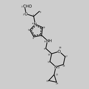 CC(OC=O)n1ccc(NCC2CN(C3CC3)CCO2)c1